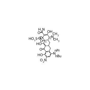 CCCCN(CCC)c1cc([N+](=O)[O-])c(O)c2c1CC1CC3[C@H](N(C)C)C(O)=C(C(N)=O)C(=O)[C@@]3(OOS(=O)(=O)O)C(O)=C1C2=O